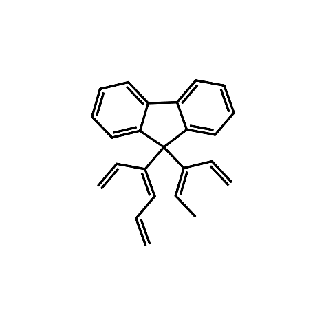 C=C/C=C(\C=C)C1(/C(C=C)=C/C)c2ccccc2-c2ccccc21